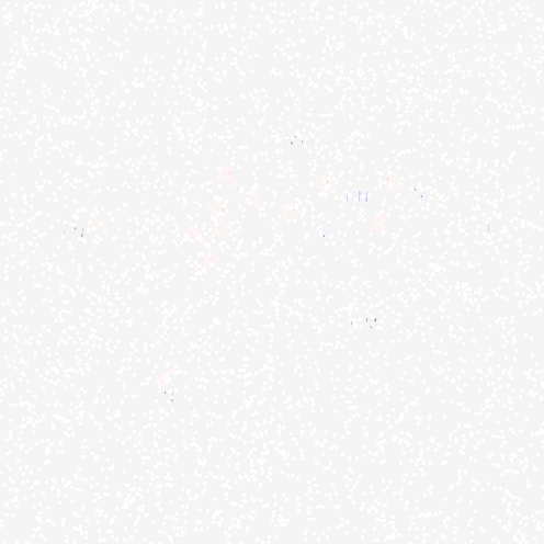 COc1ccc(-c2nc(NS(=O)(=O)c3ccc(C(C)(C)C)cn3)c(Oc3ccccc3OC)c(OCC(COC(=O)OCCCCCCO[N+](=O)[O-])OC(=O)OCCCCCCO[N+](=O)[O-])n2)cc1